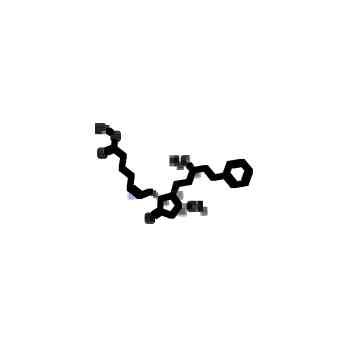 CC(C)OC(=O)CCC/C=C\C[C@H]1C(=O)C[C@@H](C)[C@@H]1CC[C@@H](C)CCc1ccccc1